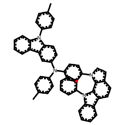 Cc1ccc(N(c2ccc(-n3ccc4ccc5c6ccccc6n(-c6ccccc6)c5c43)cc2)c2ccc3c(c2)c2ccccc2n3-c2ccc(C)cc2)cc1